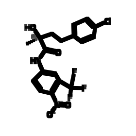 C[C@](O)(CCc1ccc(Cl)cc1)C(=O)Nc1ccc([N+](=O)[O-])c(C(F)(F)F)c1